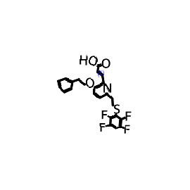 O=C(O)/C=C/c1nc(CCSc2c(F)c(F)cc(F)c2F)ccc1OCCc1ccccc1